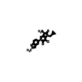 Cn1cc2cc(-n3nc4c(c(Cl)c3=O)n(CC3CC3)c(=O)n4C)ccc2n1